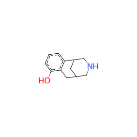 Oc1cccc2c1CC1CNCC2C1